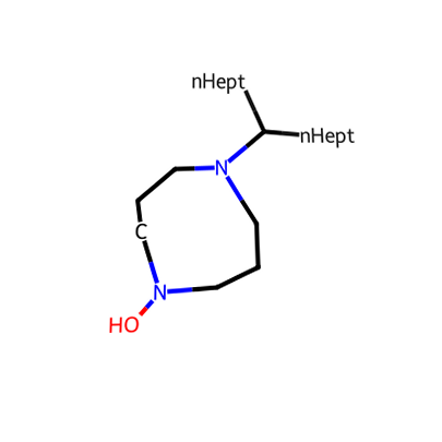 CCCCCCCC(CCCCCCC)N1CCCN(O)CCC1